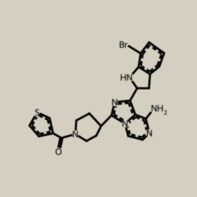 Nc1nccn2c(C3CCN(C(=O)c4ccsc4)CC3)nc(C3Cc4cccc(Br)c4N3)c12